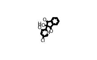 O=C1c2ccccc2C(=O)C1(O)c1ncc(Cl)cc1O